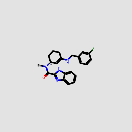 CCN(C(=O)c1nc2ccccc2[nH]1)[C@@H]1C=C(NCc2cccc(F)c2)CCC1